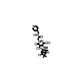 C[C@@H]1[C@H]2C[C@@H](C[C@H]1Nc1c(O)nn(CC(=O)NCc3ccncc3)c(=O)c1Cl)C2(C)C